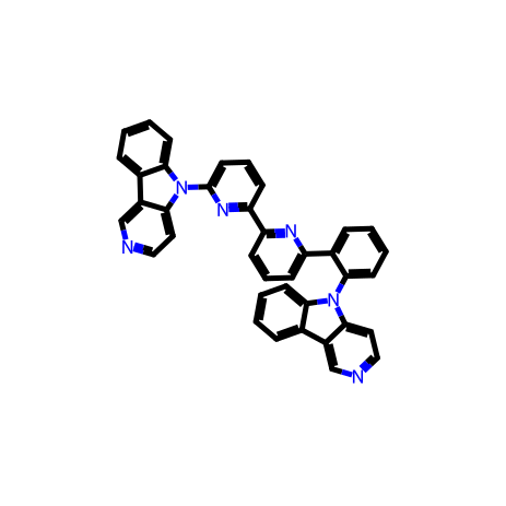 c1cc(-c2cccc(-n3c4ccccc4c4cnccc43)n2)nc(-c2ccccc2-n2c3ccccc3c3cnccc32)c1